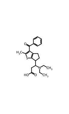 CCN(CC)C(CC(=O)O)C1CCc2c1sc(C)c2C(=O)c1ccccc1